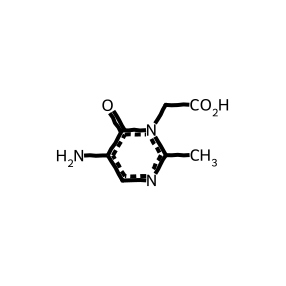 Cc1ncc(N)c(=O)n1CC(=O)O